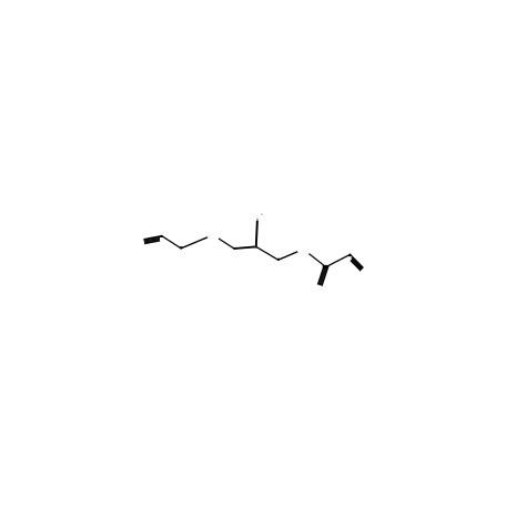 C=CCOCC(O)COC(=O)C=C